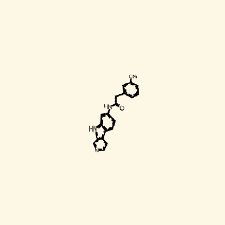 N#Cc1cccc(CC(=O)Nc2ccc3c(c2)[nH]c2cnccc23)c1